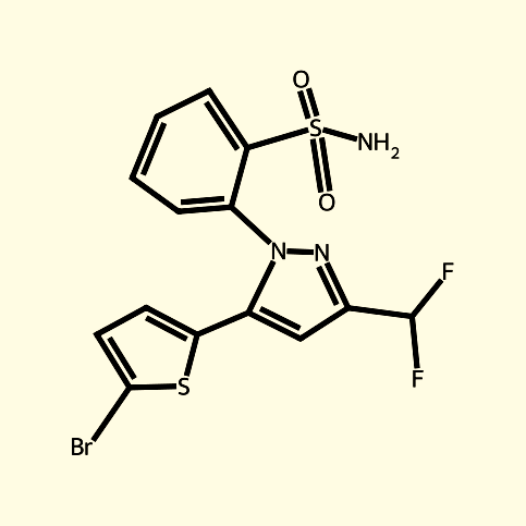 NS(=O)(=O)c1ccccc1-n1nc(C(F)F)cc1-c1ccc(Br)s1